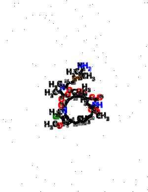 COc1cc2cc(c1Cl)N(C)C(=O)C[C@H](OC(=O)[C@H](C)N(C)C(=O)CCSSC(C)(C)CN)[C@@H](C)[C@@H](O)[C@H](C)[C@@H]1C[C@@](O)(NC(=O)O1)[C@H](OC)/C=C/C=C(\C)C2